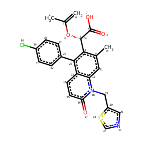 C=C(C)O[C@H](C(=O)O)c1c(C)cc2c(ccc(=O)n2Cc2cncs2)c1-c1ccc(Cl)cc1